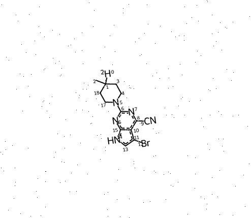 [2H]C1(C)CCN(c2nc(C#N)c3c(Br)c[nH]c3n2)CC1